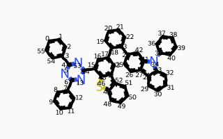 c1ccc(-c2nc(-c3ccccc3)nc(-c3cc(-c4ccccc4-c4ccc5c6ccccc6n(-c6ccccc6)c5c4)cc4c3sc3ccccc34)n2)cc1